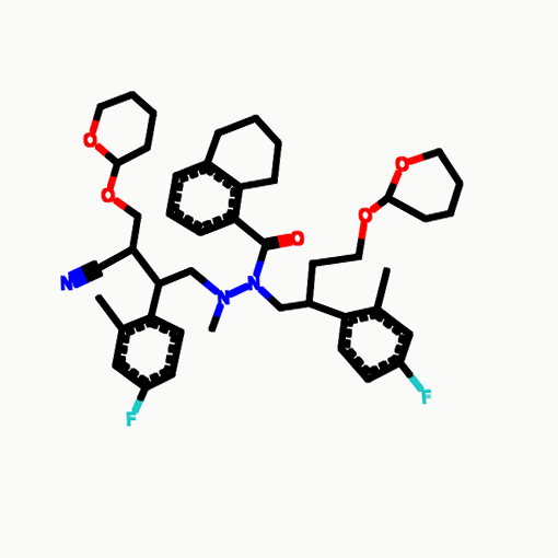 Cc1cc(F)ccc1C(CCOC1CCCCO1)CN(C(=O)c1cccc2c1CCCC2)N(C)CC(c1ccc(F)cc1C)C(C#N)COC1CCCCO1